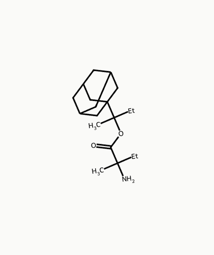 CCC(C)(N)C(=O)OC(C)(CC)C12CC3CC(CC(C3)C1)C2